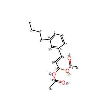 CCCCc1cccc(C=CC(OC(C)=O)OC(C)=O)c1